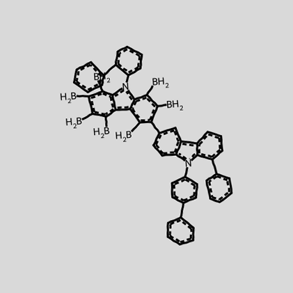 Bc1c(B)c(B)c2c(c1B)c1c(B)c(-c3ccc4c(c3)c3cccc(-c5ccccc5)c3n4-c3ccc(-c4ccccc4)cc3)c(B)c(B)c1n2-c1ccccc1-c1ccccc1